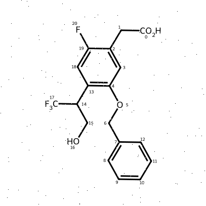 O=C(O)Cc1cc(OCc2ccccc2)c(C(CO)C(F)(F)F)cc1F